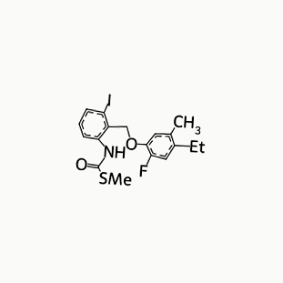 CCc1cc(F)c(OCc2c(I)cccc2NC(=O)SC)cc1C